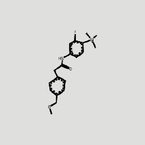 COCc1ccc(CC(=O)Nc2ccc([Si](C)(C)C)c(F)c2)cc1